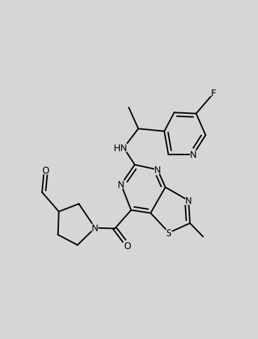 Cc1nc2nc(NC(C)c3cncc(F)c3)nc(C(=O)N3CCC(C=O)C3)c2s1